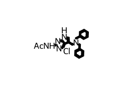 CC(=O)Nc1nc(Cl)c2c(CN(Cc3ccccc3)Cc3ccccc3)c[nH]c2n1